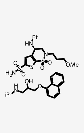 CC(C)NCC(O)COc1cccc2ccccc12.CCN[C@H]1CN(CCCOC)S(=O)(=O)c2sc(S(N)(=O)=O)cc21